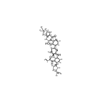 C=CC(=O)Nc1cc(Nc2nc(-c3ccnc(N4CCn5c(cc6c5CC(C)(C)C6)C4=O)c3CO)cn(C)c2=O)ccc1N1CCC(N(C)C)C1